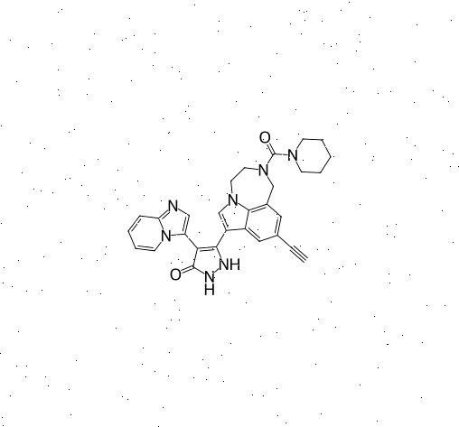 C#Cc1cc2c3c(c1)c(-c1[nH][nH]c(=O)c1-c1cnc4ccccn14)cn3CCN(C(=O)N1CCCCC1)C2